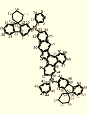 c1ccc(N(c2ccc3c(c2)C2(CCCCC2)c2ccccc2-3)c2ccc3cc4c(cc3c2)sc2c3ccc(N(c5ccccc5)c5ccc6c(c5)C5(CCCCC5)c5ccccc5-6)cc3c3ccccc3c42)cc1